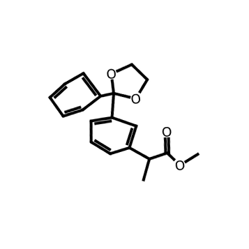 COC(=O)C(C)c1cccc(C2(c3ccccc3)OCCO2)c1